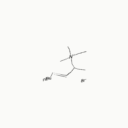 CCCCC=CC(C)[N+](C)(C)C.[Br-]